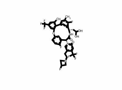 Cc1cc2cc(c1F)[C@H](CC(O)O)NC(=O)[C@H](n1cc(CCN3CC(F)C3)c(C(F)(F)F)cc1=O)c1cc(ccc1F)Oc1cc(C(F)(F)F)cc(C)c1-2